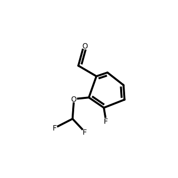 O=Cc1cccc(F)c1OC(F)F